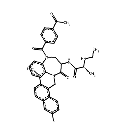 CCN[C@@H](C)C(=O)NC1CN(C(=O)c2ccc(C(C)=O)cc2)c2ccccc2N(Cc2c(OC)ccc3cc(Br)ccc23)C1=O